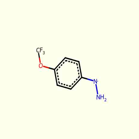 N[N]c1ccc(OC(F)(F)F)cc1